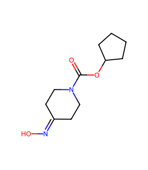 O=C(OC1CCCC1)N1CCC(=NO)CC1